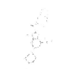 Cc1ccc(-c2cc(C(F)(F)F)n3nc(C(=O)N4CCN5CCCC5C4)c(Cl)c3n2)cc1